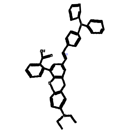 CCN(CC)c1ccc2c(c1)Cc1cc(/C=C/c3ccc(N(c4ccccc4)c4ccccc4)cc3)cc(-c3ccccc3C(=O)O)c1O2